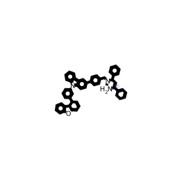 CN(Cc1ccc(-c2ccc3c(c2)c2ccccc2n3-c2cccc(C3C=CC=C4Oc5ccccc5C43)c2)cc1)C(/C=C(\N)C1=CC=CCC1)c1ccccc1